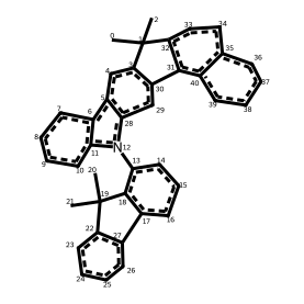 CC1(C)c2cc3c4ccccc4n(-c4cccc5c4C(C)(C)c4ccccc4-5)c3cc2-c2c1ccc1ccccc21